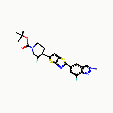 Cn1cc2cc(-c3nc4sc(C5CCN(C(=O)OC(C)(C)C)CC5F)cc4s3)cc(F)c2n1